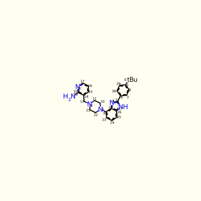 CC(C)(C)c1ccc(-c2nc3c(N4CCN(Cc5cccnc5N)CC4)cccc3[nH]2)cc1